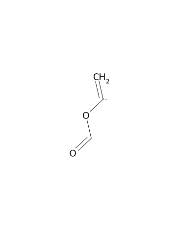 C=[C]OC=O